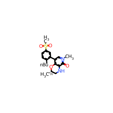 CCCCc1ccc(S(C)(=O)=O)cc1-c1cn(C)c(=O)c2c1O[C@@H](C)CN2